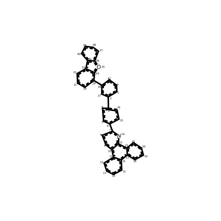 c1cc(-c2ccc(-c3ccc4c5ccccc5c5ccccc5c4n3)cc2)cc(-c2cccc3c2oc2ccccc23)c1